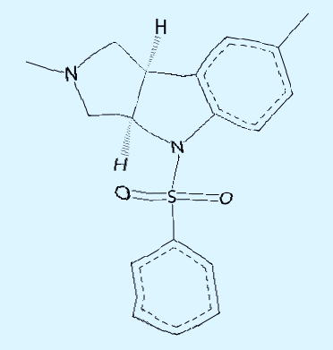 Cc1ccc2c(c1)[C@@H]1CN(C)C[C@@H]1N2S(=O)(=O)c1ccccc1